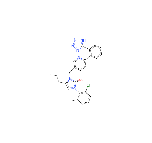 CCCc1cn(-c2c(C)cccc2Cl)c(=O)n1Cc1ccc(-c2ccccc2-c2nnn[nH]2)nc1